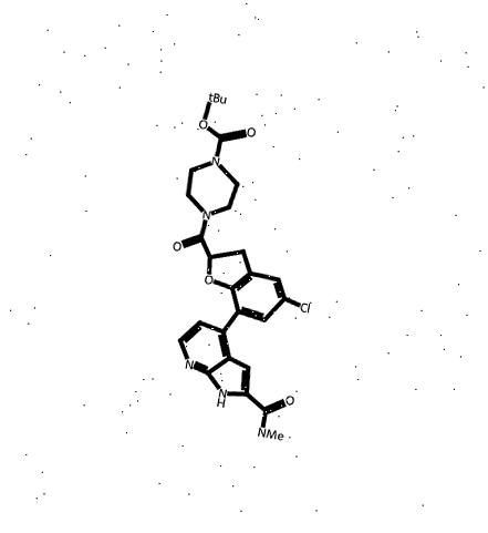 CNC(=O)c1cc2c(-c3cc(Cl)cc4c3OC(C(=O)N3CCN(C(=O)OC(C)(C)C)CC3)C4)ccnc2[nH]1